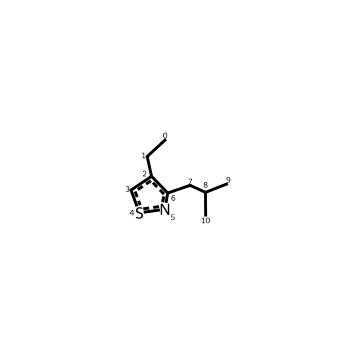 CCc1csnc1CC(C)C